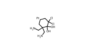 NCC1(CN)CCCC(Cl)(Cl)C1(O)O.[Pt]